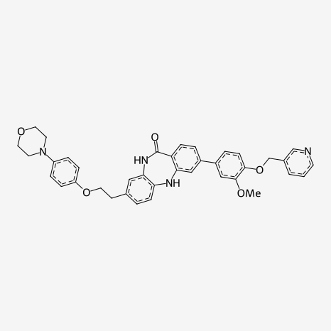 COc1cc(-c2ccc3c(c2)Nc2ccc(CCOc4ccc(N5CCOCC5)cc4)cc2NC3=O)ccc1OCc1cccnc1